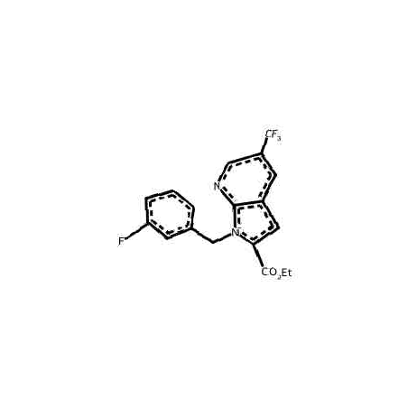 CCOC(=O)c1cc2cc(C(F)(F)F)cnc2n1Cc1cccc(F)c1